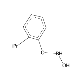 CC(C)c1ccccc1OBO